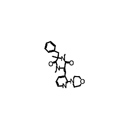 CN1C(=O)C(C)(Cc2ccccc2)N(C)C(=O)/C1=C/c1cccnc1N1CCOCC1